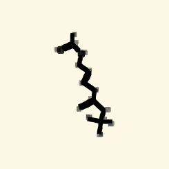 C=C(C/C=C/COC(C)=O)CC(C)(C)C